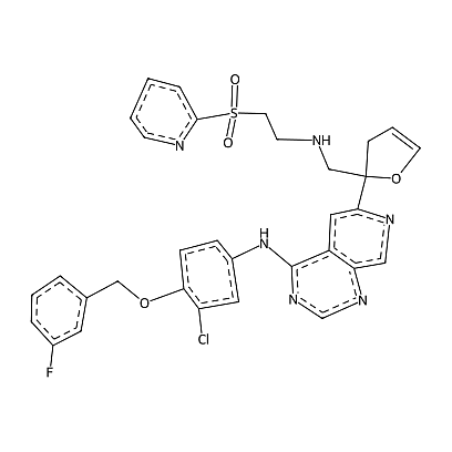 O=S(=O)(CCNCC1(c2cc3c(Nc4ccc(OCc5cccc(F)c5)c(Cl)c4)ncnc3cn2)CC=CO1)c1ccccn1